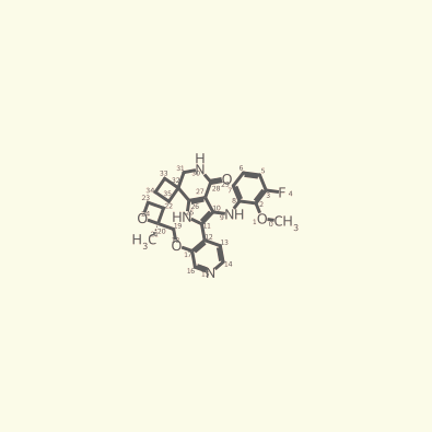 COc1c(F)cccc1Nc1c(-c2ccncc2OC[C@]2(C)CCO2)[nH]c2c1C(=O)NCC21CCC1